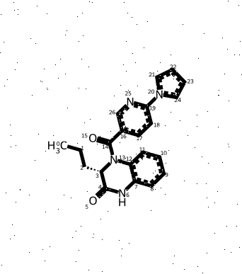 CCC[C@H]1C(=O)Nc2ccccc2N1C(=O)c1ccc(-n2cccc2)nc1